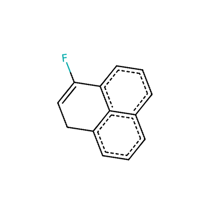 FC1=CCc2cccc3cccc1c23